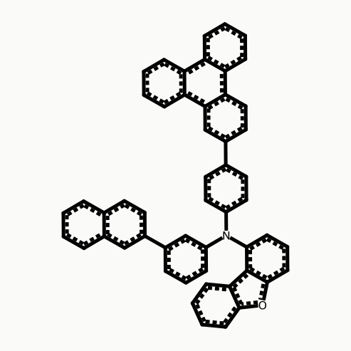 c1cc(-c2ccc3ccccc3c2)cc(N(c2ccc(-c3ccc4c5ccccc5c5ccccc5c4c3)cc2)c2cccc3oc4ccccc4c23)c1